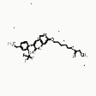 CCC(=O)OCCCCCOc1cc2oc(=O)c(-c3ccc(CC)cc3OC(F)(F)F)cc2cn1